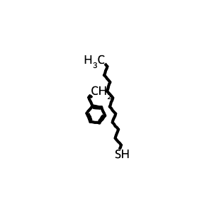 C=Cc1ccccc1.CCCCCCCCCCCCS